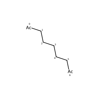 CC(=O)CCCCCC(C)=O